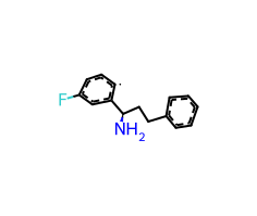 N[C@H](CCc1ccccc1)c1[c]ccc(F)c1